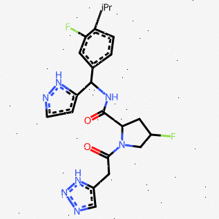 CC(C)c1ccc(C(NC(=O)C2CC(F)CN2C(=O)Cc2cnn[nH]2)c2ccn[nH]2)cc1F